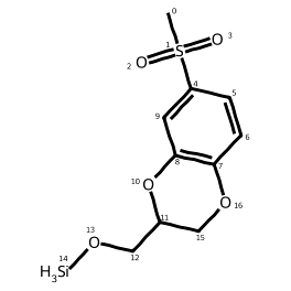 CS(=O)(=O)c1ccc2c(c1)OC(CO[SiH3])CO2